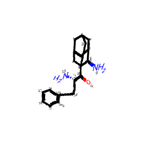 NC1C2CC3CC(C2)CC1(C(=O)[C@@H](N)Cc1ccccc1)C3